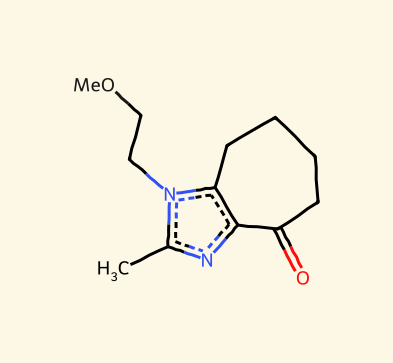 COCCn1c(C)nc2c1CCCCC2=O